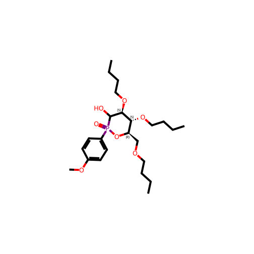 CCCCOC[C@H]1OP(=O)(c2ccc(OC)cc2)C(O)[C@@H](OCCCC)[C@@H]1OCCCC